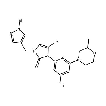 CCc1cn(Cc2cnn(CC)c2)c(=O)n1-c1cc(C(F)(F)F)cc(N2CCO[C@H](C)C2)n1